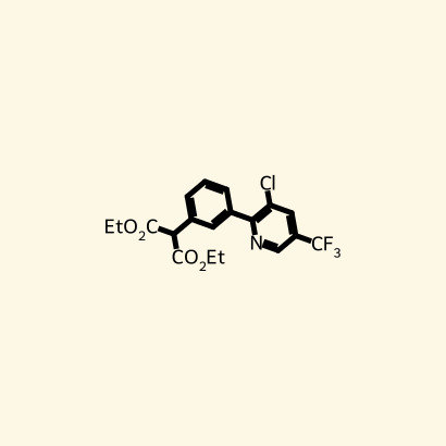 CCOC(=O)C(C(=O)OCC)c1cccc(-c2ncc(C(F)(F)F)cc2Cl)c1